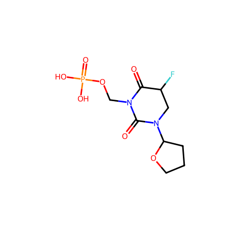 O=C1C(F)CN(C2CCCO2)C(=O)N1COP(=O)(O)O